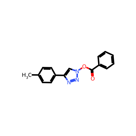 Cc1ccc(-c2cn(OC(=O)c3ccccc3)nn2)cc1